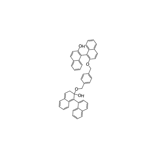 Oc1ccc2ccccc2c1-c1c(OCc2ccc(COC3(O)CC=c4ccccc4=C3c3cccc4ccccc34)cc2)ccc2ccccc12